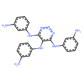 Nc1cccc(Nc2nnnc(Nc3cccc(N)c3)c2Nc2cccc(N)c2)c1